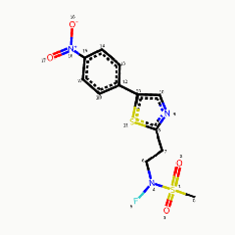 CS(=O)(=O)N(F)CCc1ncc(-c2ccc([N+](=O)[O-])cc2)s1